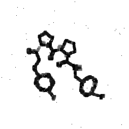 O=C(COc1ccc(F)cc1)[C@@H]1CCCN1C(=O)[C@H]1CCCN1C(=O)NCc1ccc(F)cc1